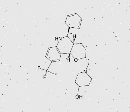 OC1CCN(C[C@H]2CC[C@@H]3[C@H](O2)c2cc(C(F)(F)F)ccc2N[C@H]3C2C=CC=CC2)CC1